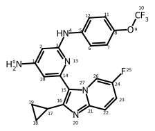 Nc1cc(Nc2ccc(OC(F)(F)F)cc2)nc(-c2c(C3CC3)nc3ccc(F)cn23)c1